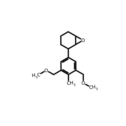 COCc1cc(C2CCCC3OC32)cc(COC)c1C